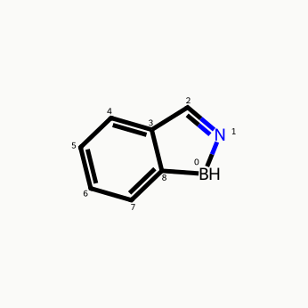 B1N=Cc2ccccc21